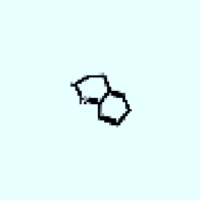 [C]1CCC2=CCC=CC2=N1